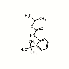 CC(C)OC(=O)Nc1ncccc1C(C)(C)C